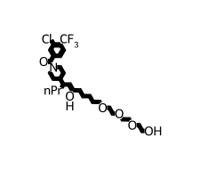 CCCC(/C=C(\O)CCCCCOCCOCCOCCO)C1CCN(C(=O)c2ccc(C(F)(F)F)c(Cl)c2)CC1